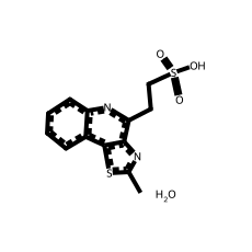 Cc1nc2c(CCS(=O)(=O)O)nc3ccccc3c2s1.O